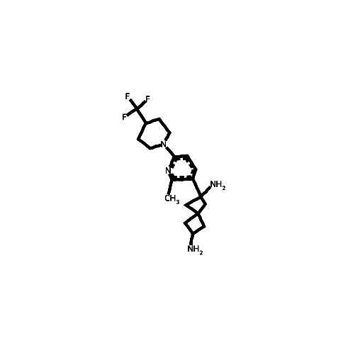 Cc1nc(N2CCC(C(F)(F)F)CC2)ccc1C1(N)CC2(CC(N)C2)C1